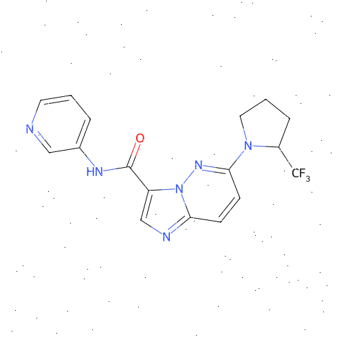 O=C(Nc1cccnc1)c1cnc2ccc(N3CCCC3C(F)(F)F)nn12